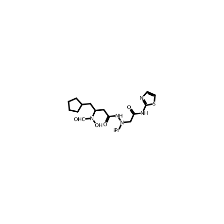 CC(C)N(CC(=O)Nc1nccs1)NC(=O)CC(CC1CCCC1)N(O)C=O